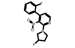 O=[N+]([O-])c1c(-c2ccccc2F)ccnc1N1CCC(F)C1